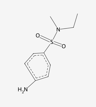 CCN(C)S(=O)(=O)c1ccc(N)cc1